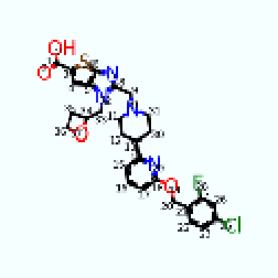 O=C(O)c1cc2c(nc(CN3CCC(c4cccc(OCc5ccc(Cl)cc5F)n4)CC3)n2CC2CCO2)s1